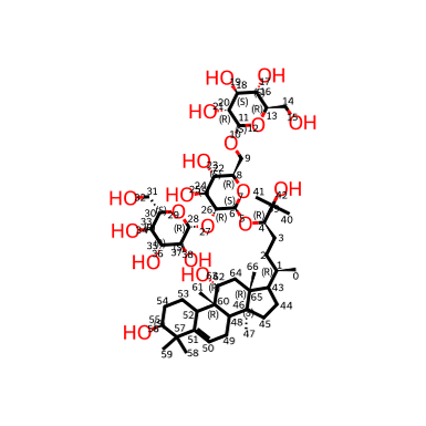 C[C@H](CC[C@@H](O[C@@H]1O[C@H](CO[C@H]2O[C@H](CO)[C@@H](O)[C@H](O)[C@H]2O)[C@@H](O)[C@H](O)[C@H]1O[C@H]1O[C@@H](CO)[C@H](O)[C@@H](O)[C@@H]1O)C(C)(C)O)C1CC[C@@]2(C)C3CC=C4C(CC[C@H](O)C4(C)C)[C@]3(C)[C@H](O)C[C@]12C